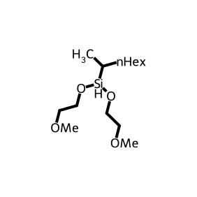 CCCCCCC(C)[SiH](OCCOC)OCCOC